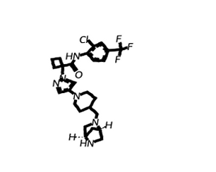 O=C(Nc1ccc(C(F)(F)F)cc1Cl)C1(n2cc(N3CCC(CN4C[C@H]5C[C@@H]4CN5)CC3)cn2)CCC1